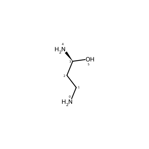 NCC[C@@H](N)O